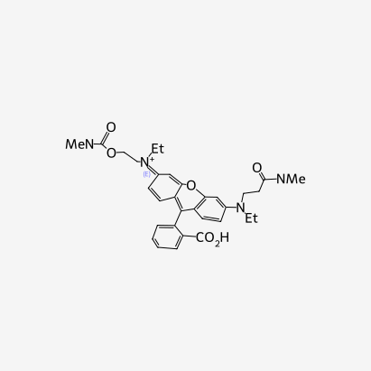 CCN(CCC(=O)NC)c1ccc2c(-c3ccccc3C(=O)O)c3cc/c(=[N+](/CC)CCOC(=O)NC)cc-3oc2c1